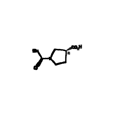 CC(C)(C)C(=O)N1CC[C@@H](C(=O)O)C1